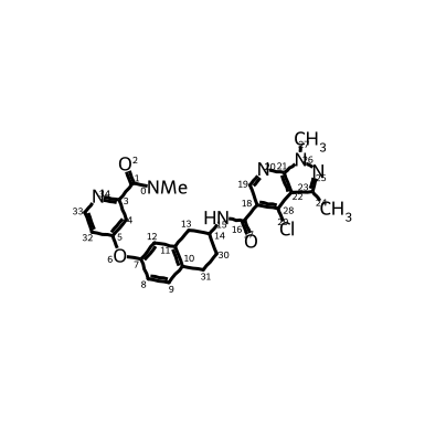 CNC(=O)c1cc(Oc2ccc3c(c2)CC(NC(=O)c2cnc4c(c(C)nn4C)c2Cl)CC3)ccn1